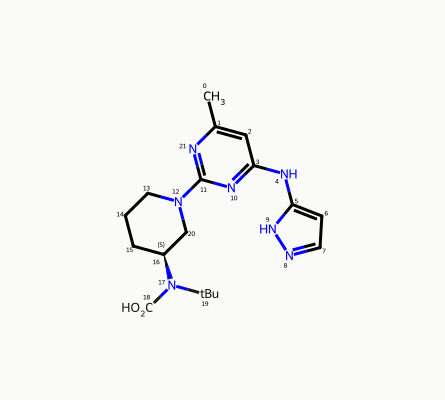 Cc1cc(Nc2ccn[nH]2)nc(N2CCC[C@H](N(C(=O)O)C(C)(C)C)C2)n1